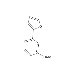 COc1cccc(-c2[c]cco2)c1